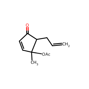 C=CCC1C(=O)C=CC1(C)OC(C)=O